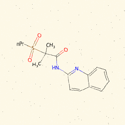 CCCS(=O)(=O)C(C)(C)C(=O)Nc1ccc2ccccc2n1